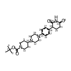 CC(C)(C)OC(=O)N1CCC(N2CCN(c3ccc(C4CCC(=O)NC4=O)cc3)CC2)CC1